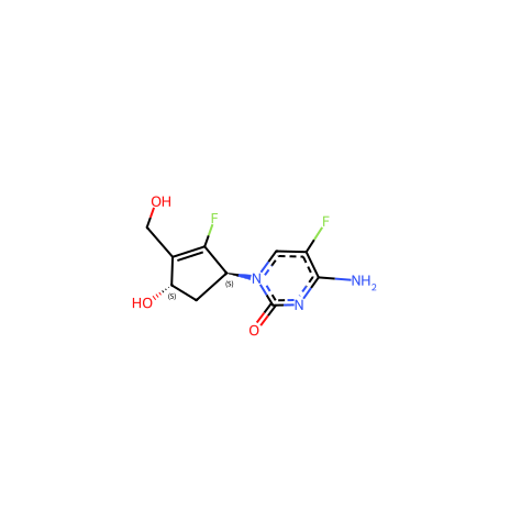 Nc1nc(=O)n([C@H]2C[C@H](O)C(CO)=C2F)cc1F